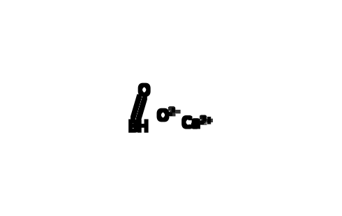 B=O.[Ca+2].[O-2]